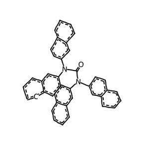 O=C(N(c1ccc2ccccc2c1)c1ccc2ccccc2c1)N(c1ccc2ccccc2c1)c1ccc2ccccc2c1